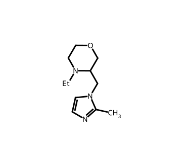 CCN1CCOCC1Cn1ccnc1C